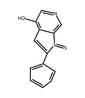 Oc1cncc2c1C=C(c1ccccc1)S2=S